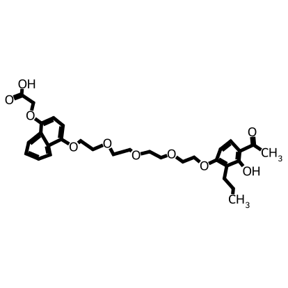 CCCc1c(OCCOCCOCCOCCOc2ccc(OCC(=O)O)c3ccccc23)ccc(C(C)=O)c1O